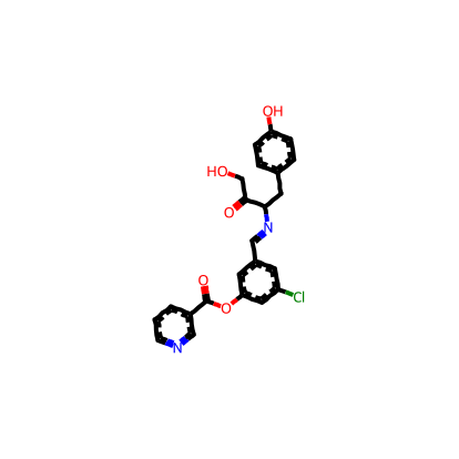 O=C(Oc1cc(Cl)cc(C=NC(Cc2ccc(O)cc2)C(=O)CO)c1)c1cccnc1